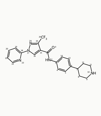 O=C(Nc1ccc(C2CCNCC2)cc1)c1cn(-c2ccccn2)nc1C(F)(F)F